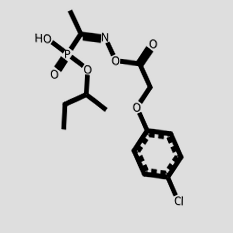 CCC(C)OP(=O)(O)C(C)=NOC(=O)COc1ccc(Cl)cc1